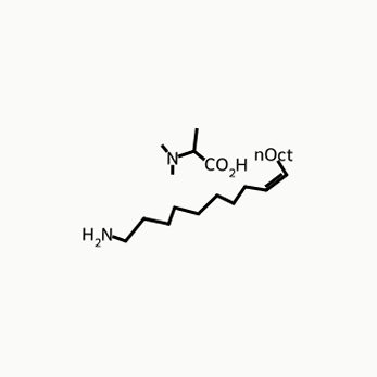 CC(C(=O)O)N(C)C.CCCCCCCC/C=C\CCCCCCCCN